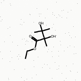 CCOC(=O)C(C)(O)C(C)(C)O